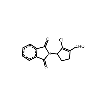 O=CC1=C(Cl)C(N2C(=O)c3ccccc3C2=O)CC1